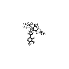 C#CC[C@H]1O[C@@H]2COC(C)(C)O[C@@H]2[C@H](n2cc(-c3ccc(Br)c(F)c3F)nn2)[C@H]1OC